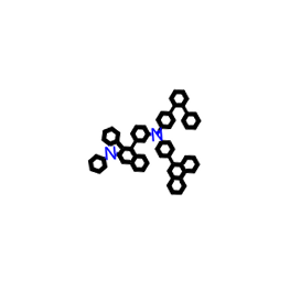 c1ccc(-c2ccccc2-c2ccc(N(c3ccc(-c4cc5ccccc5c5ccccc45)cc3)c3cccc(-c4c5ccccc5cc5c4c4ccccc4n5-c4ccccc4)c3)cc2)cc1